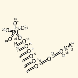 [C]=O.[C]=O.[C]=O.[C]=O.[C]=O.[C]=O.[C]=O.[C]=O.[K+].[K+].[O]=[Ru](=[O])(=[O])([O-])[O-]